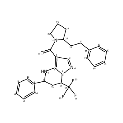 O=C(c1cnn2c1NC(c1ccccc1)CC2C(F)(F)F)N1CCCC1CCc1ccccc1